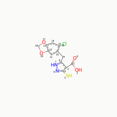 O=C(O)c1c(S)n[nH]c1Cc1cc2c(cc1Cl)OCO2